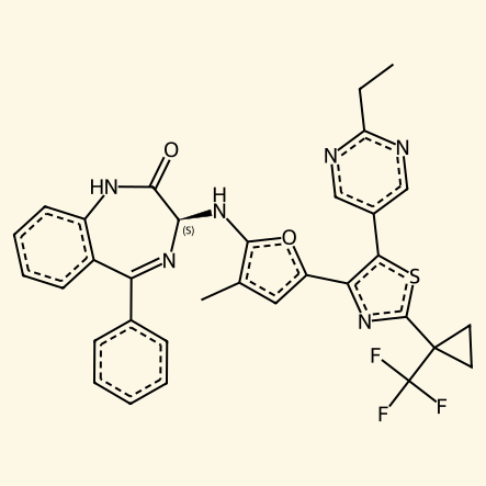 CCc1ncc(-c2sc(C3(C(F)(F)F)CC3)nc2-c2cc(C)c(N[C@H]3N=C(c4ccccc4)c4ccccc4NC3=O)o2)cn1